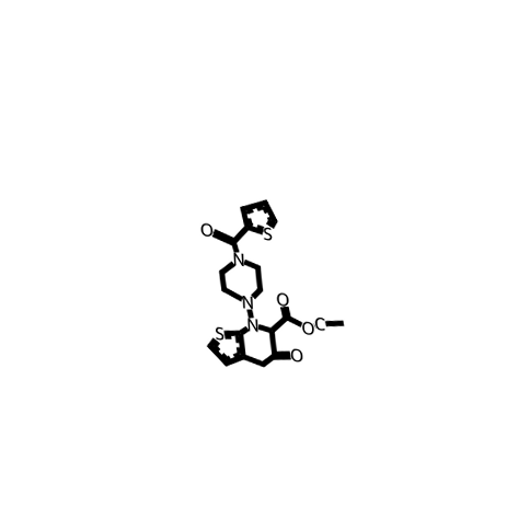 CCOC(=O)C1C(=O)Cc2ccsc2N1N1CCN(C(=O)c2cccs2)CC1